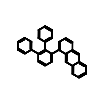 c1ccc(-c2cccc(-c3cccc4cc5ccccc5cc34)c2-c2ccccc2)cc1